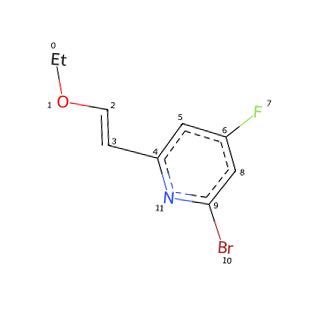 CCO/C=C/c1cc(F)cc(Br)n1